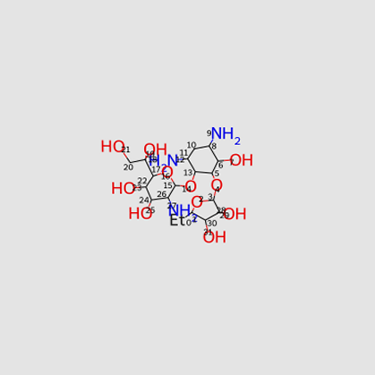 CCC1OC(OC2C(O)C(N)CC(N)C2OC2OC([C@H](O)CO)C(O)C(O)C2N)C(O)C1O